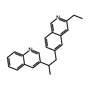 CCc1cc2cc(CC(C)c3cnc4ccccc4c3)ccc2cn1